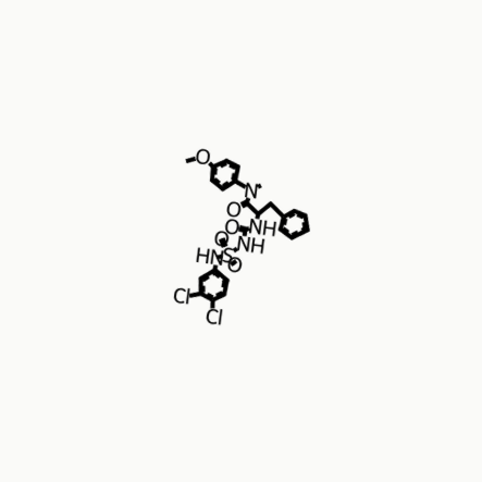 COc1ccc(N(C)C(=O)C(Cc2ccccc2)NC(=O)NS(=O)(=O)Nc2ccc(Cl)c(Cl)c2)cc1